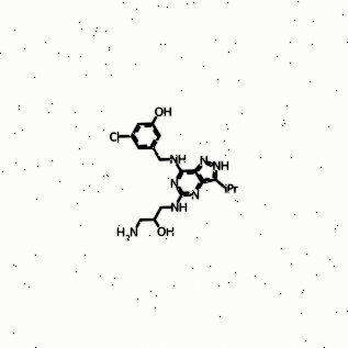 CC(C)c1[nH]nc2c(NCc3cc(O)cc(Cl)c3)nc(NCC(O)CN)nc12